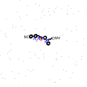 COCCCn1c([C@@H]2CCCN(C(=O)C[C@H](N)Cc3ccc(-c4ccc(C#N)cc4)cc3)C2)nc2ccccc21